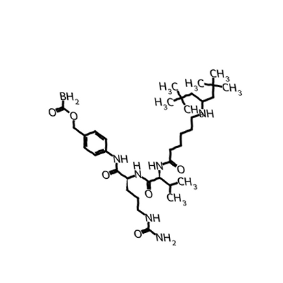 BC(=O)OCc1ccc(NC(=O)[C@H](CCCNC(N)=O)NC(=O)[C@@H](NC(=O)CCCCCNC(CC(C)(C)C)CC(C)(C)C)C(C)C)cc1